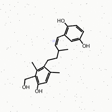 Cc1cc(O)c(CO)c(C)c1CCC(C)/C=C\c1cc(O)ccc1O